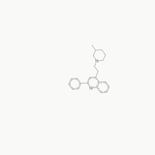 CC1CCCN(CCc2cc(-c3ccccc3)nc3ccccc23)C1